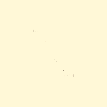 O=C(O)N1CCN(c2ccc(N3CCNCC3)cc2)c2ccccc21